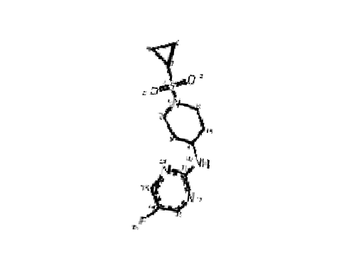 O=S(=O)(C1CC1)N1CCC(Nc2ncc(F)cn2)CC1